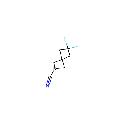 N#CB1CC2(C1)CC(F)(F)C2